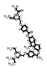 C=CC(=C)OCC(COc1ccc(C(=C)Oc2ccc3c(c2)C(C)c2cc(OC(=O)c4ccc(OCC(COC(=O)C=C)OC(=O)C=C)cc4)ccc2-3)cc1)OC(=O)C=C